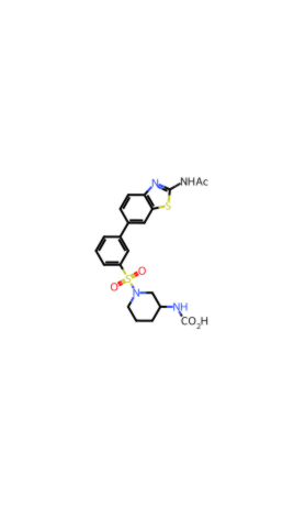 CC(=O)Nc1nc2ccc(-c3cccc(S(=O)(=O)N4CCCC(NC(=O)O)C4)c3)cc2s1